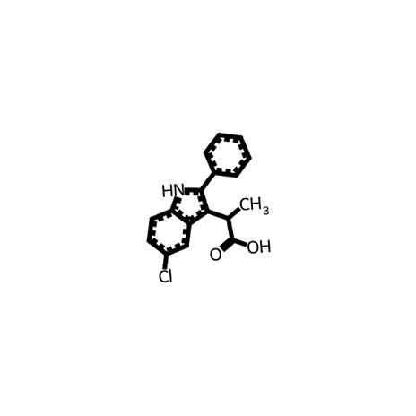 CC(C(=O)O)c1c(-c2ccccc2)[nH]c2ccc(Cl)cc12